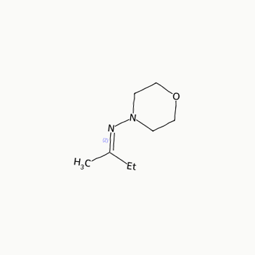 CC/C(C)=N\N1CCOCC1